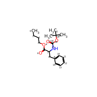 CCCCOC(=O)C(Cc1ccccc1)NC(=O)OC(C)(C)C